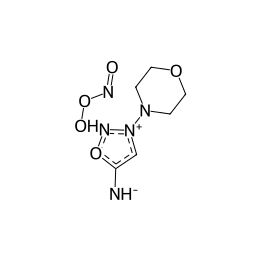 O=NOO.[NH-]c1c[n+](N2CCOCC2)no1